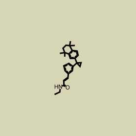 CCNC(=O)/C=C/c1cccc(C2(c3ccc4c(c3)C(C)(C)CCC4(C)C)CC2)c1